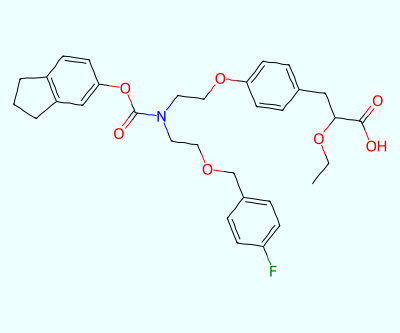 CCOC(Cc1ccc(OCCN(CCOCc2ccc(F)cc2)C(=O)Oc2ccc3c(c2)CCC3)cc1)C(=O)O